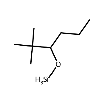 CCCC(O[SiH3])C(C)(C)C